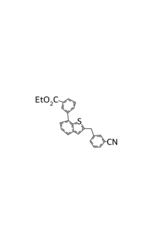 CCOC(=O)c1cccc(-c2cccc3cc(Cc4cccc(C#N)c4)sc23)c1